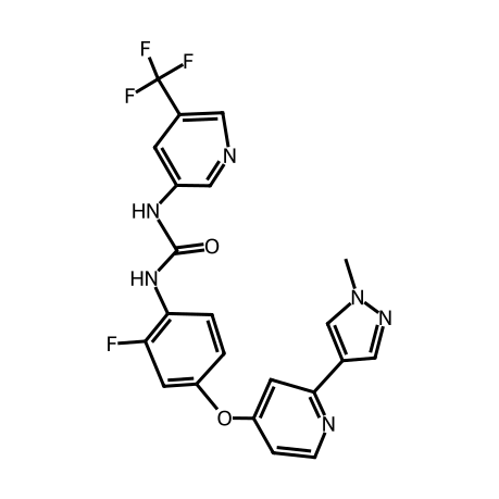 Cn1cc(-c2cc(Oc3ccc(NC(=O)Nc4cncc(C(F)(F)F)c4)c(F)c3)ccn2)cn1